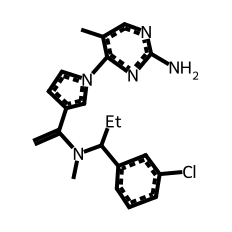 C=C(c1ccn(-c2nc(N)ncc2C)c1)N(C)C(CC)c1cccc(Cl)c1